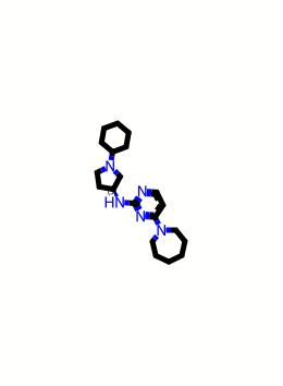 c1cc(N2CCCCCC2)nc(N[C@H]2CCN(C3CCCCC3)C2)n1